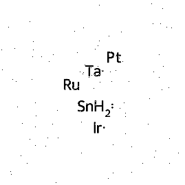 [Ir].[Pt].[Ru].[SnH2].[Ta]